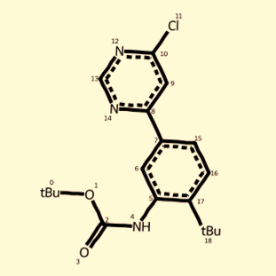 CC(C)(C)OC(=O)Nc1cc(-c2cc(Cl)ncn2)ccc1C(C)(C)C